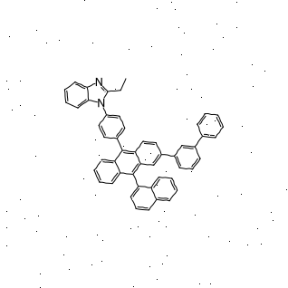 CCc1nc2ccccc2n1-c1ccc(-c2c3ccccc3c(-c3cccc4ccccc34)c3cc(-c4cccc(-c5ccccc5)c4)ccc23)cc1